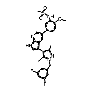 COc1ccc(-c2cnc3[nH]cc(-c4c(C)nn(Cc5cc(F)cc(F)c5)c4C)c3c2)cc1NS(C)(=O)=O